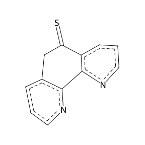 S=C1Cc2cccnc2-c2ncccc21